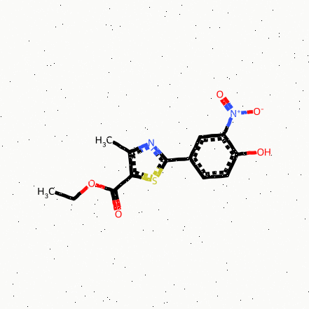 CCOC(=O)c1sc(-c2ccc(O)c([N+](=O)[O-])c2)nc1C